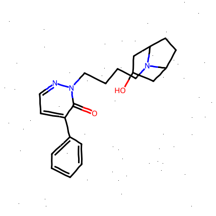 O=c1c(-c2ccccc2)ccnn1CCCCN1C2CCC1CC(O)C2